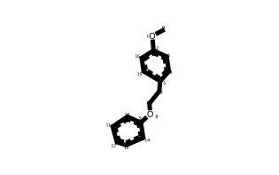 COc1ccc(CCOc2[c]cccc2)cc1